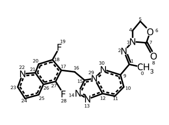 CC(=NN1CCOC1=O)c1ccc2nnc(Cc3c(F)cc4ncccc4c3F)n2n1